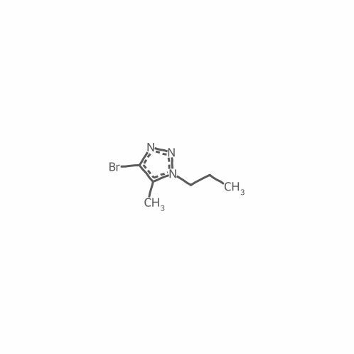 CCCn1nnc(Br)c1C